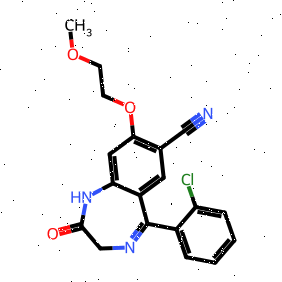 COCCOc1cc2c(cc1C#N)C(c1ccccc1Cl)=NCC(=O)N2